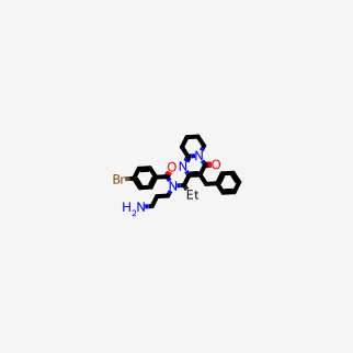 CCC(c1nc2n(c(=O)c1Cc1ccccc1)CCCC2)N(CCCN)C(=O)c1ccc(Br)cc1